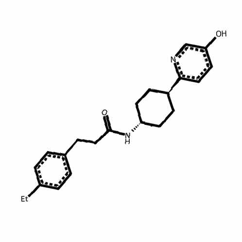 CCc1ccc(CCC(=O)N[C@H]2CC[C@H](c3ccc(O)cn3)CC2)cc1